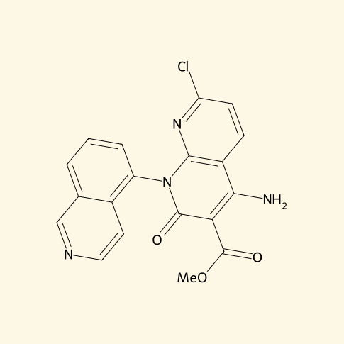 COC(=O)c1c(N)c2ccc(Cl)nc2n(-c2cccc3cnccc23)c1=O